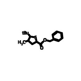 CC1CC(C(=O)OCc2ccccc2)SC1C(C)(C)C